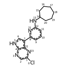 Clc1cnc2[nH]cc(-c3cccc(NC4CCCCCC4)n3)c2n1